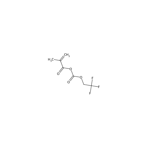 C=C(C)C(=O)OC(=O)OCC(F)(F)F